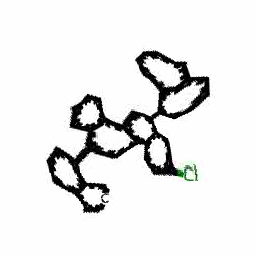 Clc1ccc2c(c1)c(-c1cccc3ccccc13)cc1c3ccccc3c(-c3cccc4ccccc34)cc21